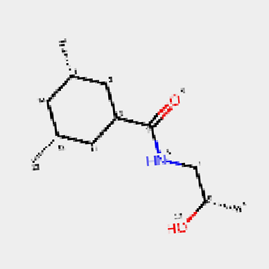 C[C@@H]1CC(C(=O)NC[C@H](C)O)C[C@H](C)C1